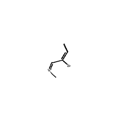 C/C=C(Br)\C=N/C